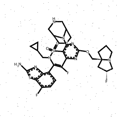 Nc1nc2c(C3=C(F)c4nc(OC[C@@]56CCCN5C[C@H](F)C6)nc(N5C6CNCC5COC6)c4S(=O)(=O)N3CC3CC3)ccc(F)c2s1